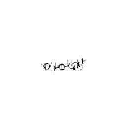 CC(C)(C)OC(=O)OC(=O)CC(N)c1ccc(C(=O)Nc2ccncc2)cc1